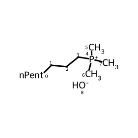 CCCCCCCC[P+](C)(C)C.[OH-]